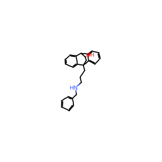 OC1CC2(CCCNCc3ccccc3)c3ccccc3C1c1ccccc12